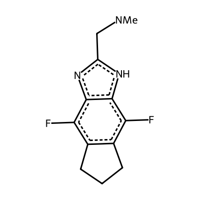 CNCc1nc2c(F)c3c(c(F)c2[nH]1)CCC3